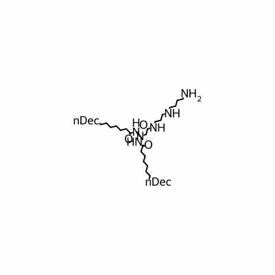 CCCCCCCCCCCCCCCCC(=O)NN(CC(=O)NCCCNCCCCN)NC(=O)CCCCCCCCCCCCCCCC